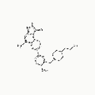 COc1ccc(-c2ccc3c(c2)c(C)cc2n[nH]c(=O)n23)cc1CN1CCC(CCO)CC1